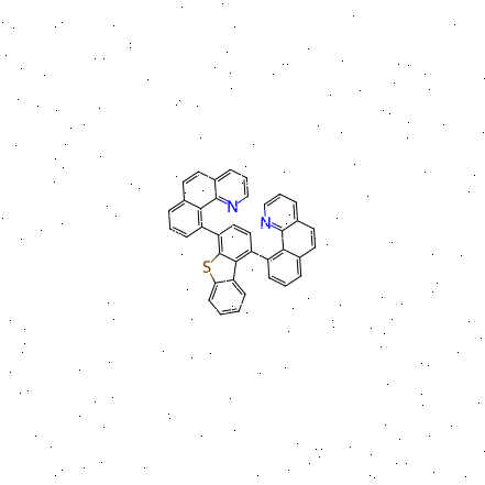 c1cnc2c(c1)ccc1cccc(-c3ccc(-c4cccc5ccc6cccnc6c45)c4c3sc3ccccc34)c12